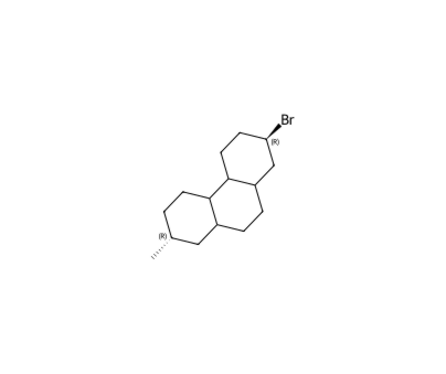 C[C@@H]1CCC2C(CCC3C[C@H](Br)CCC32)C1